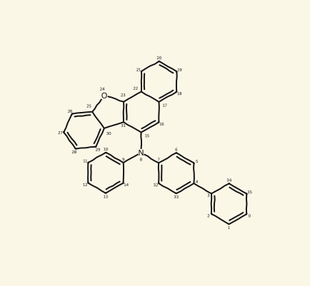 c1ccc(-c2ccc(N(c3ccccc3)c3cc4ccccc4c4oc5ccccc5c34)cc2)cc1